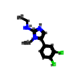 CCCCCCCCn1c(-c2ccc(Cl)c(Cl)c2)cnc1NCC(C)C